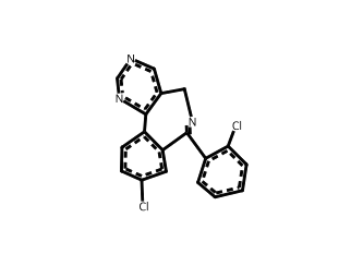 Clc1ccc2c(c1)C(c1ccccc1Cl)=NCc1cncnc1-2